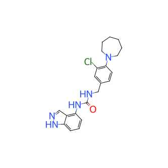 O=C(NCc1ccc(N2CCCCCC2)c(Cl)c1)Nc1cccc2[nH]ncc12